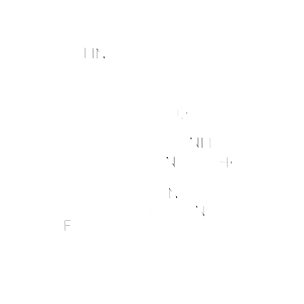 CCc1nn(N2C=C(C3CNC3)ON2)c2cc(F)ccc12.Cl